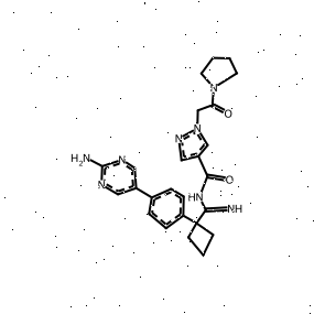 N=C(NC(=O)c1cnn(CC(=O)N2CCCC2)c1)C1(c2ccc(-c3cnc(N)nc3)cc2)CCC1